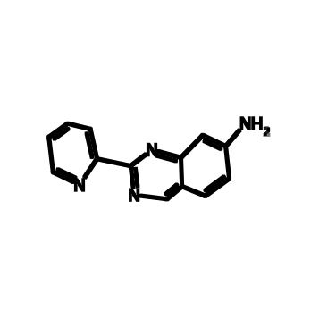 Nc1ccc2cnc(-c3ccccn3)nc2c1